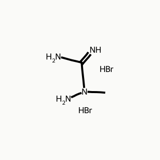 Br.Br.CN(N)C(=N)N